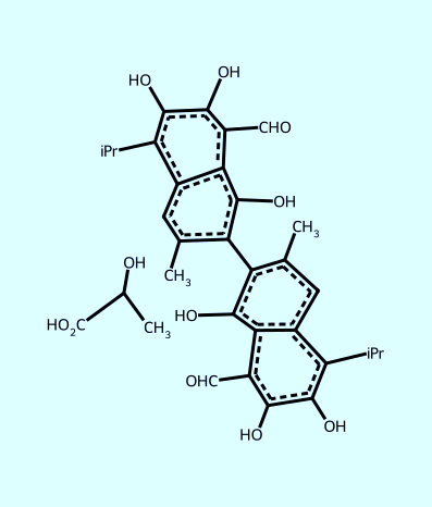 CC(O)C(=O)O.Cc1cc2c(C(C)C)c(O)c(O)c(C=O)c2c(O)c1-c1c(C)cc2c(C(C)C)c(O)c(O)c(C=O)c2c1O